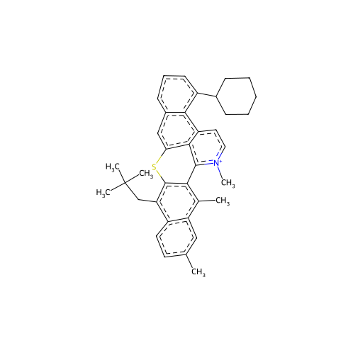 Cc1ccc2c(CC(C)(C)C)c3c(c(C)c2c1)-c1c2c(cc4cccc(C5CCCCC5)c4c2cc[n+]1C)S3